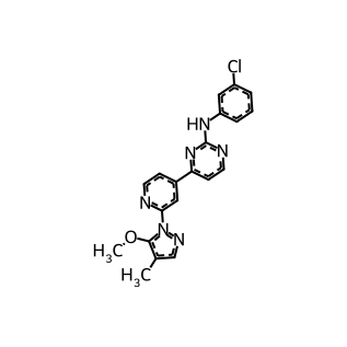 COc1c(C)cnn1-c1cc(-c2ccnc(Nc3cccc(Cl)c3)n2)ccn1